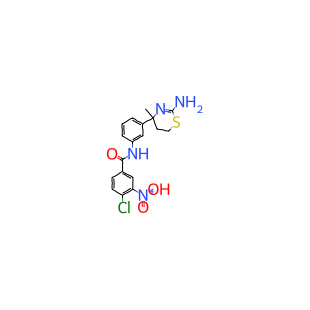 CC1(c2cccc(NC(=O)c3ccc(Cl)c([N+](=O)O)c3)c2)CCSC(N)=N1